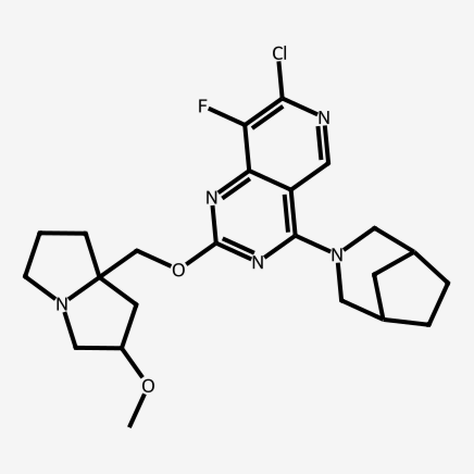 COC1CN2CCCC2(COc2nc(N3CC4CCC(C4)C3)c3cnc(Cl)c(F)c3n2)C1